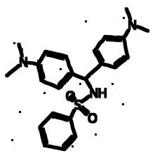 CN(C)c1ccc(C(NS(=O)(=O)c2ccccc2)c2ccc(N(C)C)cc2)cc1